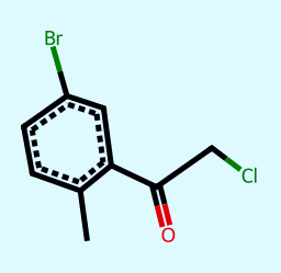 Cc1ccc(Br)cc1C(=O)CCl